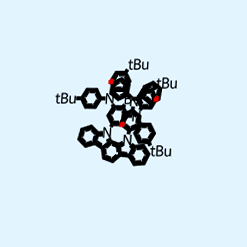 CC(C)(C)c1ccc(N2c3ccc(C(C)(C)C)cc3B3c4cc(C(C)(C)C)ccc4N(c4ccc(C(C)(C)C)cc4)c4cc(-n5c6ccccc6c6ccc7c8ccccc8n(-c8ccc(N(c9ccccc9)c9ccccc9)cc8)c7c65)cc2c43)cc1